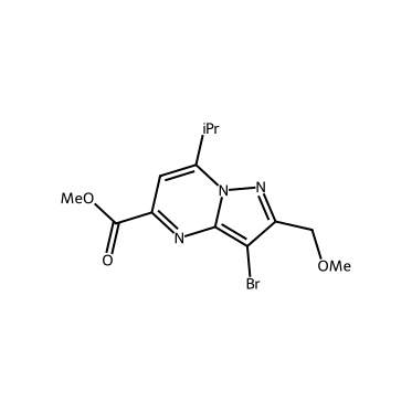 COCc1nn2c(C(C)C)cc(C(=O)OC)nc2c1Br